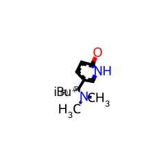 CC[C@@H](C)[C@H](c1ccc(=O)[nH]c1)N(C)C